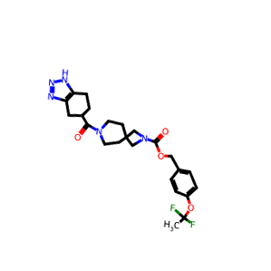 CC(F)(F)Oc1ccc(COC(=O)N2CC3(CCN(C(=O)C4CCc5[nH]nnc5C4)CC3)C2)cc1